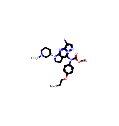 COCCOc1ccc(N(C(=O)OC(C)(C)C)c2c3c(nc4c(I)cnn24)N([C@H]2CCCN(C(=O)O)C2)CC3)cc1